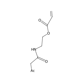 C=CC(=O)OCCNC(=O)CC(C)=O